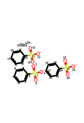 O=S(=O)([O-])c1ccccc1.O=S(=O)([O-])c1ccccc1.O=S(=O)([O-])c1ccccc1.[Nd+3]